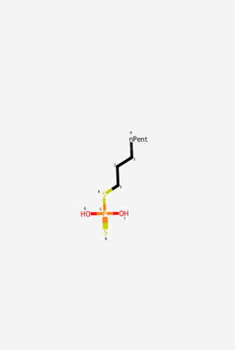 CCCCCCCCSP(O)(O)=S